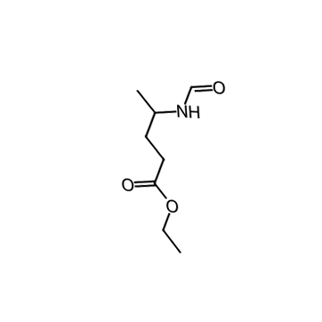 CCOC(=O)CCC(C)NC=O